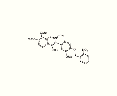 CCCCc1c2[n+](cc3c(OC)c(OC)ccc13)CCc1cc(OCc3ccccc3[N+](=O)[O-])c(OC)cc1-2